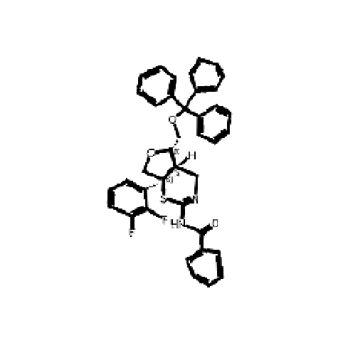 O=C(NC1=NC[C@H]2[C@@H](COC(c3ccccc3)(c3ccccc3)c3ccccc3)OC[C@]2(c2cccc(F)c2F)S1)c1ccccc1